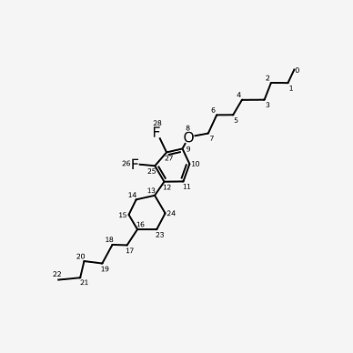 CCCCCCCCOc1ccc(C2CCC(CCCCCC)CC2)c(F)c1F